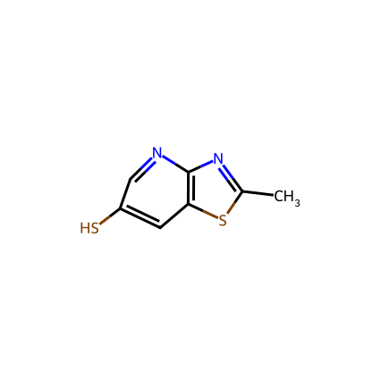 Cc1nc2ncc(S)cc2s1